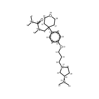 CN(C)C(=O)N(C)CC1(c2ccc(OCCCN3CC[C@@H](N(C)C)C3)cc2)CCOCC1